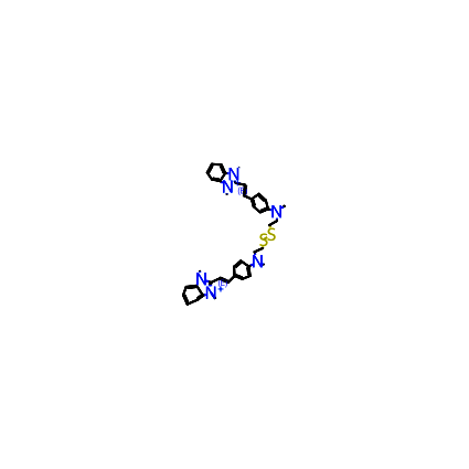 CN(CCSSCCN(C)c1ccc(/C=C/c2n(C)c3ccccc3[n+]2C)cc1)c1ccc(/C=C/c2n(C)c3ccccc3[n+]2C)cc1